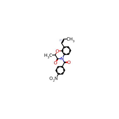 C/C=C\c1cccc2c1OC(C)C(=O)N2C(=O)c1ccc([N+](=O)[O-])cc1